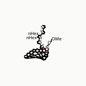 CCCCCCc1c(-c2ccc(-c3cccs3)s2)sc(-c2ccc(-c3ccc(C4N(CCOCCOC)CC5C6=c7c8c9c%10c(cc%11cc%12cc%13cc%14cc%15c%16c(c7c7c8c8c%10c%11c%10c%12c%13c%11c%14c%16c7c%11c%108)=C(C6)C%15)CC954)s3)s2)c1CCCCCC